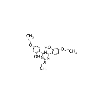 CCCOc1ccc(-c2nc(SCC)nc(-c3ccc(OCCC)cc3O)n2)c(O)c1